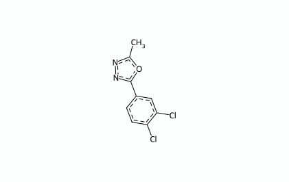 Cc1nnc(-c2ccc(Cl)c(Cl)c2)o1